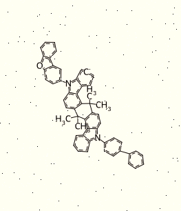 CC1(C)c2ccc3c(c2C(C)(C)c2ccc4c(c21)c1ccccc1n4-c1ccc(-c2ccccc2)cc1)c1ccccc1n3-c1ccc2oc3ccccc3c2c1